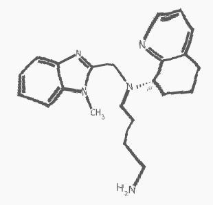 Cn1c(CN(CCCCN)[C@H]2CCCc3cccnc32)nc2ccccc21